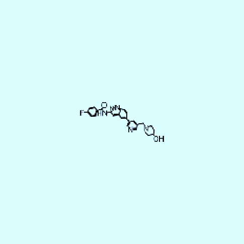 O=C(Nc1cc2cc(-c3cncc(CN4CCC(O)CC4)c3)ccc2nn1)c1ccc(F)cc1